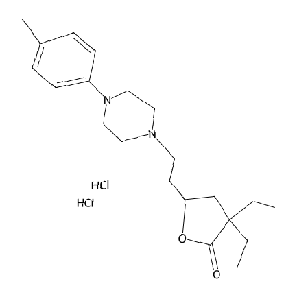 CCC1(CC)CC(CCN2CCN(c3ccc(C)cc3)CC2)OC1=O.Cl.Cl